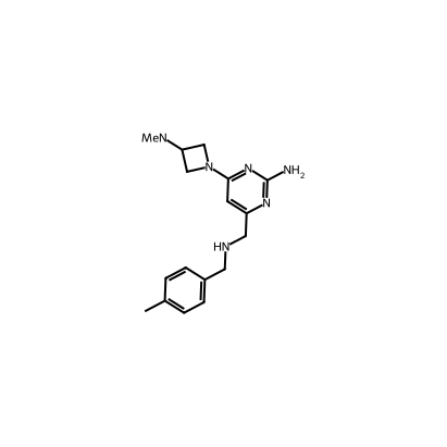 CNC1CN(c2cc(CNCc3ccc(C)cc3)nc(N)n2)C1